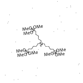 CO[Si](CCCCC[Si](C)(CCCCC[Si](OC)(OC)OC)CCCCC[Si](OC)(OC)OC)(OC)OC